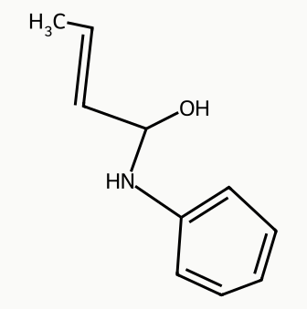 CC=CC(O)Nc1ccccc1